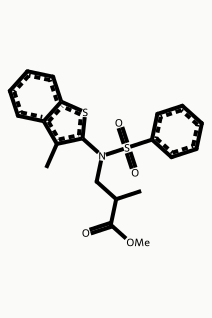 COC(=O)C(C)CN(c1sc2ccccc2c1C)S(=O)(=O)c1ccccc1